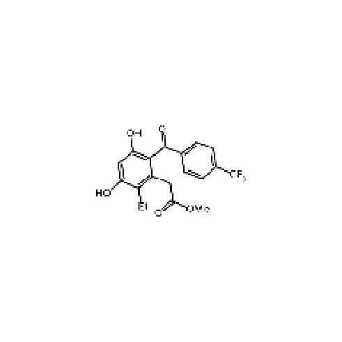 CCc1c(O)cc(O)c(C(=O)c2ccc(C(F)(F)F)cc2)c1CC(=O)OC